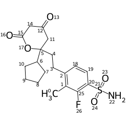 Cc1c(CCC2(C3CCCC3)CC(=O)CC(=O)O2)ccc(S(N)(=O)=O)c1F